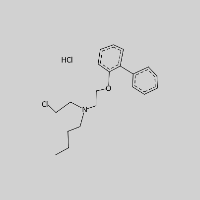 CCCCN(CCCl)CCOc1ccccc1-c1ccccc1.Cl